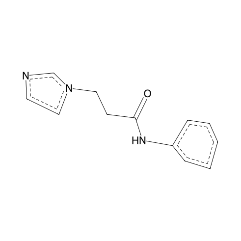 O=C(CCn1ccnc1)Nc1ccccc1